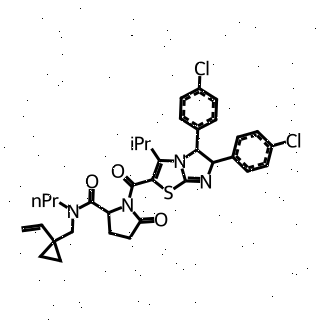 C=CC1(CN(CCC)C(=O)C2CCC(=O)N2C(=O)C2=C(C(C)C)N3C(=NC(c4ccc(Cl)cc4)C3c3ccc(Cl)cc3)S2)CC1